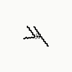 CCCCCCCCCC(CCCCCCCC)OC(=O)OC(CCCCCCCC)CCCCCCCCC